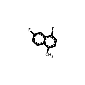 Cc1ccc(F)c2cc(F)ccc12